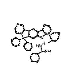 N=C(NN(Cc1ccccc1)n1c2ccccc2c2cc3c(cc21)C(c1ccccc1)(c1ccccc1)c1ccccc1-3)c1ccccc1